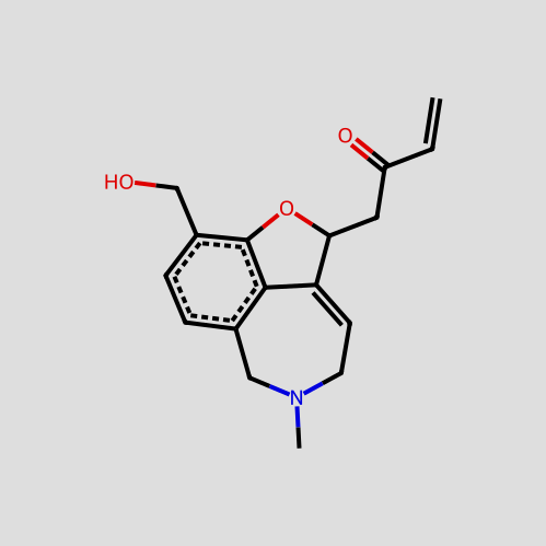 C=CC(=O)CC1Oc2c(CO)ccc3c2C1=CCN(C)C3